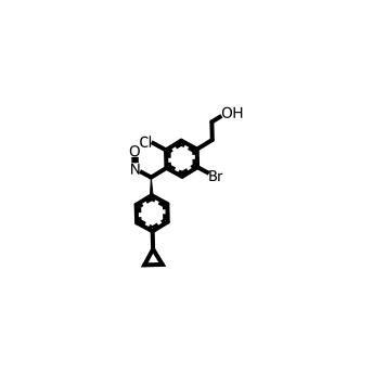 O=N[C@H](c1ccc(C2CC2)cc1)c1cc(Br)c(CCO)cc1Cl